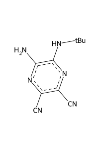 CC(C)(C)Nc1nc(C#N)c(C#N)nc1N